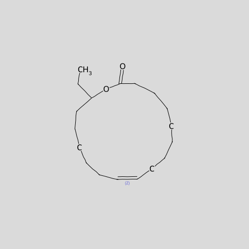 CCC1CCCCC/C=C\CCCCCCCC(=O)O1